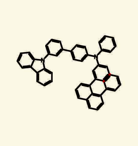 c1ccc(-c2cccc3cccc(-c4cccc(N(c5ccccc5)c5ccc(-c6cccc(-n7c8ccccc8c8ccccc87)c6)cc5)c4)c23)cc1